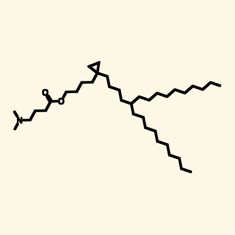 CCCCCCCCCCC(CCCCCCCCCC)CCCCC1(CCCCOC(=O)CCCN(C)C)CC1